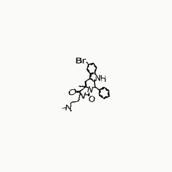 CN(C)CCN1C(=O)N2C(c3ccccc3)c3[nH]c4ccc(Br)cc4c3CC2(C)C1=O